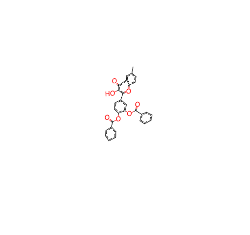 Cc1ccc2oc(-c3ccc(OC(=O)c4ccccc4)c(OC(=O)c4ccccc4)c3)c(O)c(=O)c2c1